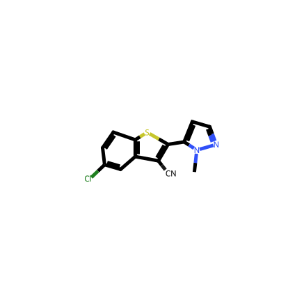 Cn1nccc1-c1sc2ccc(Cl)cc2c1C#N